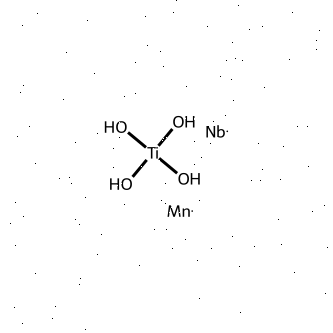 [Mn].[Nb].[OH][Ti]([OH])([OH])[OH]